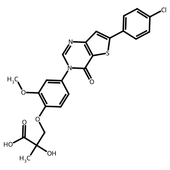 COc1cc(-n2cnc3cc(-c4ccc(Cl)cc4)sc3c2=O)ccc1OCC(C)(O)C(=O)O